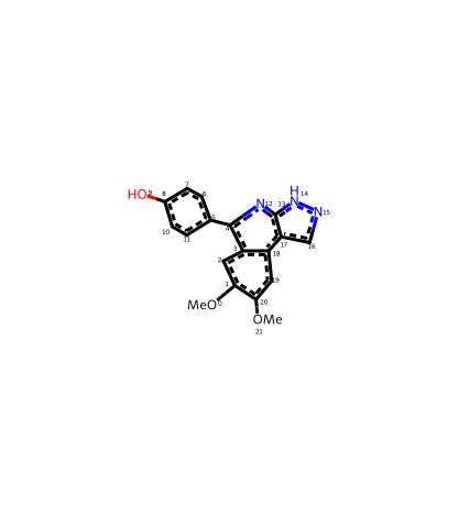 COc1cc2c(-c3ccc(O)cc3)nc3[nH]ncc3c2cc1OC